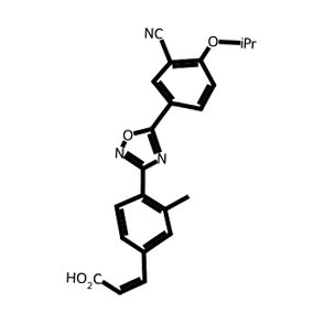 Cc1cc(/C=C\C(=O)O)ccc1-c1noc(-c2ccc(OC(C)C)c(C#N)c2)n1